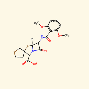 COc1cccc(OC)c1C(=O)NC1C(=O)N2C(C(=O)O)C3(CCSC3)S[C@@H]12